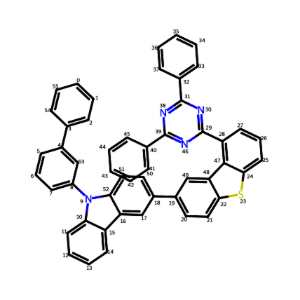 c1ccc(-c2cccc(-n3c4ccccc4c4cc(-c5ccc6sc7cccc(-c8nc(-c9ccccc9)nc(-c9ccccc9)n8)c7c6c5)ccc43)c2)cc1